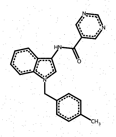 Cc1ccc(Cn2cc(NC(=O)c3cncnc3)c3ccccc32)cc1